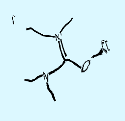 CCOC(N(C)C)=[N+](C)C.[I-]